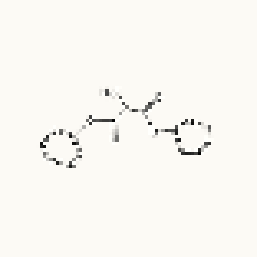 CC(C(=O)Oc1ccccc1)C(=O)Oc1ccccc1